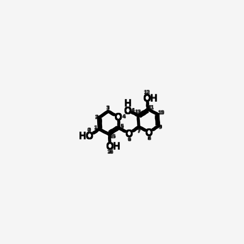 OC1=CCOC(OC2OC=CC(O)=C2O)=C1O